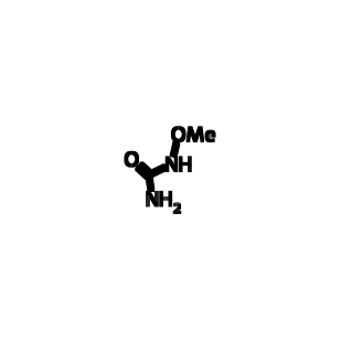 [CH2]ONC(N)=O